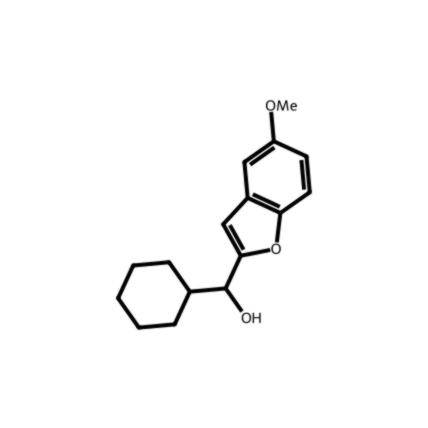 COc1ccc2oc(C(O)C3CCCCC3)cc2c1